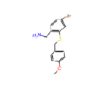 COc1ccc(CSc2cc(Br)ccc2CN)cc1